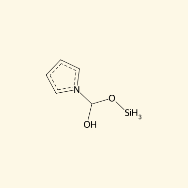 OC(O[SiH3])n1cccc1